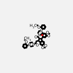 CCOc1ccccc1N1CCN(C(=O)CC2c3cc4c(cc3C(c3ccc5c(c3)OCO5)C2C(=O)N2CCN(c3ccccc3OCC)CC2)OCO4)CC1